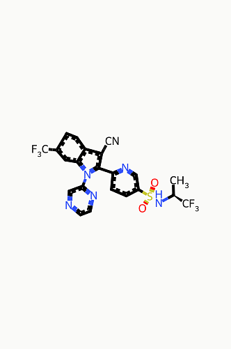 C[C@H](NS(=O)(=O)c1ccc(-c2c(C#N)c3ccc(C(F)(F)F)cc3n2-c2cnccn2)nc1)C(F)(F)F